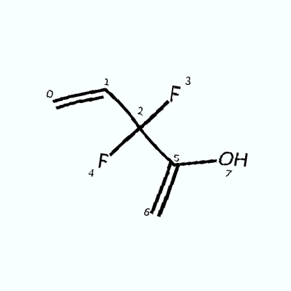 C=CC(F)(F)C(=C)O